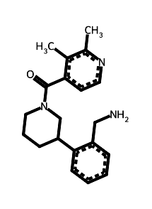 Cc1nccc(C(=O)N2CCCC(c3ccccc3CN)C2)c1C